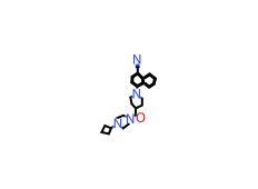 N#Cc1ccc(N2CCC(C(=O)N3CCN(C4CCC4)CC3)CC2)c2ccccc12